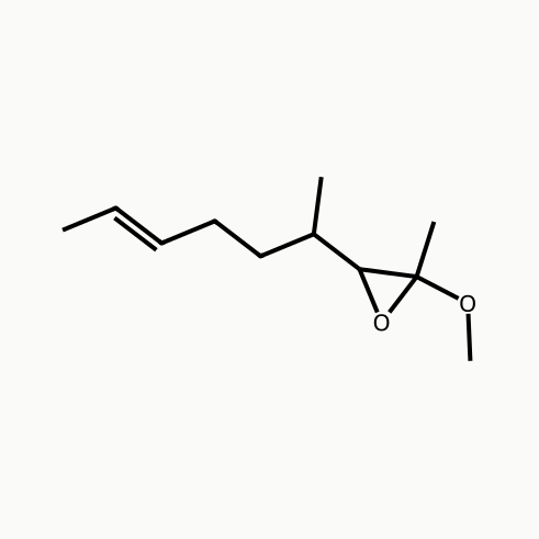 CC=CCCC(C)C1OC1(C)OC